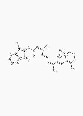 CC(C=CC1=C(C)CCCC1(C)C)=CC=CC(C)=CC(=O)ON1C(=O)c2ccccc2C1=O